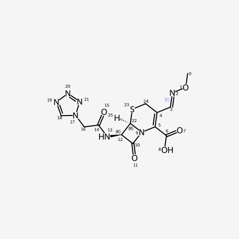 CO/N=C/C1=C(C(=O)O)N2C(=O)[C@@H](NC(=O)Cn3cnnn3)[C@H]2SC1